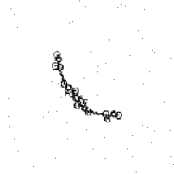 Cc1c(OC(=O)c2ccc(OCCCCCCOC(=O)C3CCC4OC4C3)cc2F)ccc(OC(=O)c2ccc(OCCCCCCOC(=O)C3CCC4OC4C3)cc2F)c1C